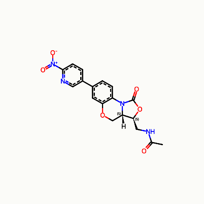 CC(=O)NC[C@@H]1OC(=O)N2c3ccc(-c4ccc([N+](=O)[O-])nc4)cc3OC[C@@H]12